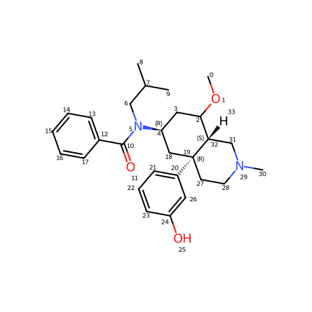 COC1C[C@H](N(CC(C)C)C(=O)c2ccccc2)C[C@]2(c3cccc(O)c3)CCN(C)C[C@@H]12